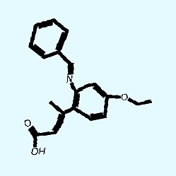 CCOc1ccc(C(C)=CC(=O)O)c(N=Cc2ccccc2)c1